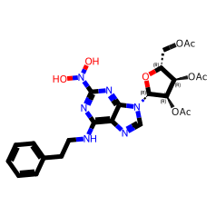 CC(=O)OC[C@H]1O[C@@H](n2cnc3c(NCCc4ccccc4)nc(N(O)O)nc32)[C@H](OC(C)=O)[C@@H]1OC(C)=O